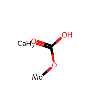 O=C(O)[O][Mo].[CaH2]